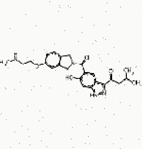 CNCCOc1ccc2c(c1)CN(C(=O)c1cc3c(C(=O)CC(C)C)n[nH]c3cc1O)C2